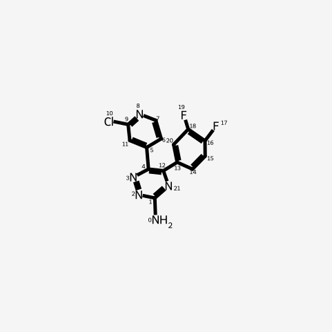 Nc1nnc(-c2ccnc(Cl)c2)c(-c2ccc(F)c(F)c2)n1